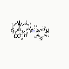 O=C(O)c1ccnc2ccc(/C=C/c3cccnc3)cc12